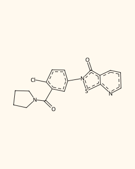 O=C(c1cc(-n2sc3ncccc3c2=O)ccc1Cl)N1CCCC1